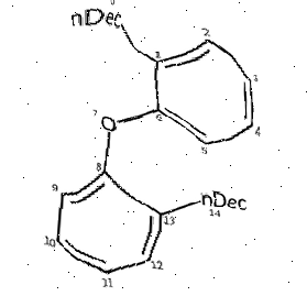 CCCCCCCCCCc1ccccc1Oc1ccccc1CCCCCCCCCC